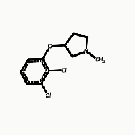 CN1CCC(Oc2cccc(Cl)c2Cl)C1